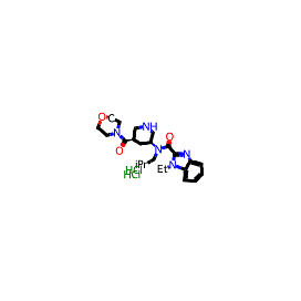 CCn1c(C(=O)N(CC(C)C)[C@@H]2CNC[C@H](C(=O)N3CCOCC3)C2)nc2ccccc21.Cl.Cl